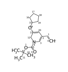 [CH]=CC1=CN(C(=O)OC(C)(C)C)CC(OC2CCCC2)=C1